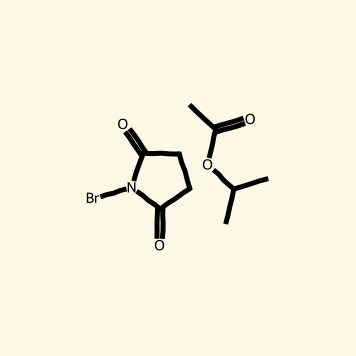 CC(=O)OC(C)C.O=C1CCC(=O)N1Br